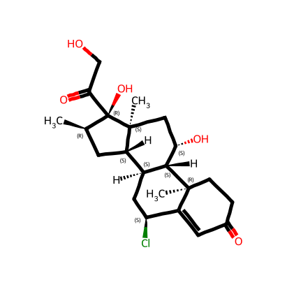 C[C@@H]1C[C@H]2[C@@H]3C[C@H](Cl)C4=CC(=O)CC[C@]4(C)[C@H]3[C@@H](O)C[C@]2(C)[C@@]1(O)C(=O)CO